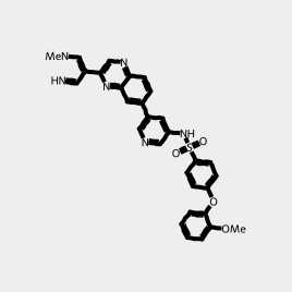 CN/C=C(\C=N)c1cnc2ccc(-c3cncc(NS(=O)(=O)c4ccc(Oc5ccccc5OC)cc4)c3)cc2n1